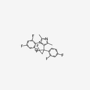 Cc1nc(C)n(-c2c(F)cc(F)cc2Cl)c1C1(c2ccc(F)cc2F)CC1(F)F